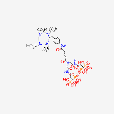 O=C(O)CN1CCN(CC(=O)O)CCN(CC(=O)O)C(Cc2ccc(NC(=O)CCCC(=O)N(CC(=O)NCCC(O)(P(=O)(O)O)P(=O)(O)O)CC(=O)NCCC(O)(P(=O)(O)O)P(=O)(O)O)cc2)CN(CC(=O)O)CC1